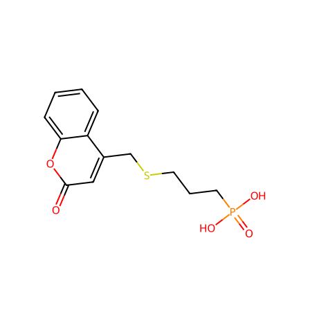 O=c1cc(CSCCCP(=O)(O)O)c2ccccc2o1